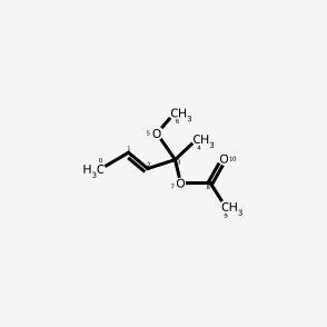 CC=CC(C)(OC)OC(C)=O